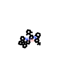 Cc1cccc(C)c1-c1cc(-c2cccc3c2Nc2ccccc2C3(c2ccccc2)c2ccccc2)c2c(c1)N1c3c(cc(C(C)(C)C)cc3C3(C)CCCCC13C)B2